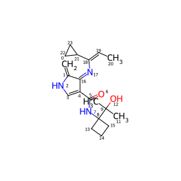 C=C1NC=C(C(=O)NC2(C(C)(C)O)CCC2)/C1=N/C(=C\C)C1CC1